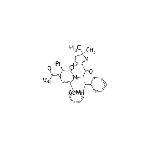 CC(=O)NC(c1ccccc1)[C@@H](C(=O)C1=NC(C)(C)CO1)N1C(=O)[C@H](C(C)C)N(C(=O)C(C)(C)C)C=C1c1ccccc1